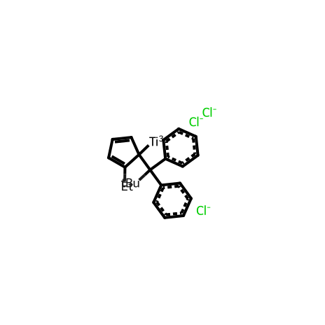 CCC1=CC=C[C]1([Ti+3])C(c1ccccc1)(c1ccccc1)C(C)(C)C.[Cl-].[Cl-].[Cl-]